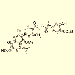 CCOC(=O)c1ccc(NC(=O)CCC(=O)N2CCN(c3c(F)cc4c(=O)c(C(=O)O)cn(C5CC5)c4c3OC)CC2C)cc1O